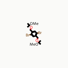 COC(C)(C)OCc1cc(Br)c(COC(C)(C)OC)cc1Br